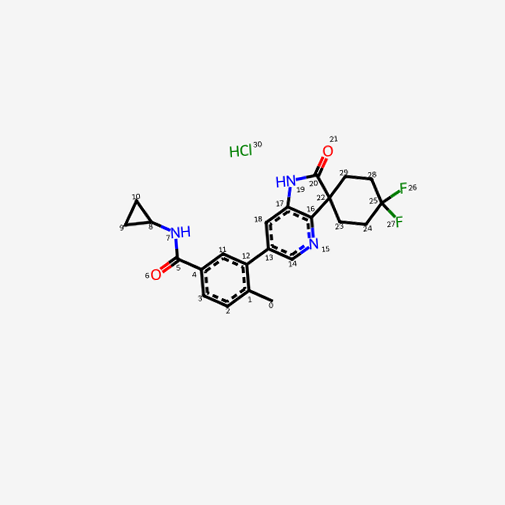 Cc1ccc(C(=O)NC2CC2)cc1-c1cnc2c(c1)NC(=O)C21CCC(F)(F)CC1.Cl